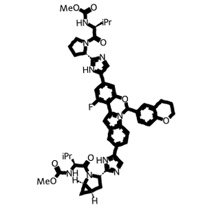 COC(=O)N[C@H](C(=O)N1CCC[C@H]1c1ncc(-c2cc(F)c3c(c2)OC(c2ccc4c(c2)CCCO4)n2c-3cc3cc(-c4cnc([C@@H]5C[C@H]6C[C@H]6N5C(=O)[C@@H](NC(=O)OC)C(C)C)[nH]4)ccc32)[nH]1)C(C)C